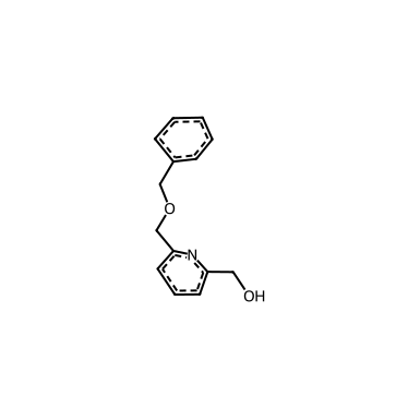 OCc1cccc(COCc2ccccc2)n1